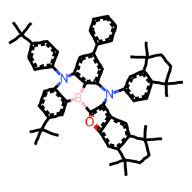 CC(C)(C)c1ccc(N2c3ccc(C(C)(C)C)cc3B3c4oc5cc6c(cc5c4N(c4ccc5c(c4)C(C)(C)CCC5(C)C)c4cc(-c5ccccc5)cc2c43)C(C)(C)CCC6(C)C)cc1